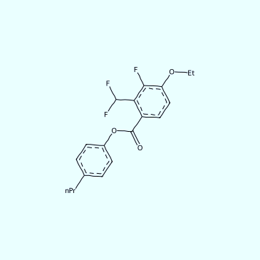 CCCc1ccc(OC(=O)c2ccc(OCC)c(F)c2C(F)F)cc1